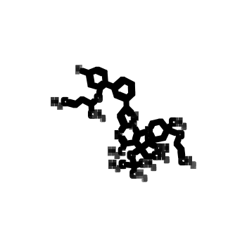 C=CCOC1(C)CCN(c2c(C(CC)(OC(C)(C)C)C(=O)O)c(C)nc3cc(-c4cccc(-c5ccc(F)cc5OC(C)CC=C)c4)nn23)CC1